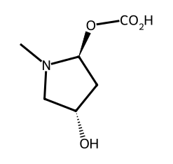 CN1C[C@@H](O)C[C@@H]1OC(=O)O